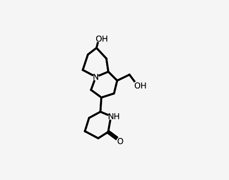 O=C1CCCC(C2CC(CO)C3CC(O)CCN3C2)N1